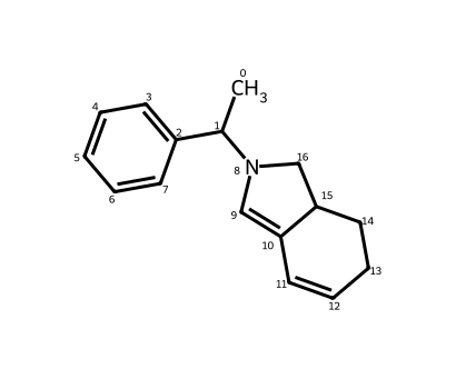 CC(c1ccccc1)N1C=C2C=CCCC2C1